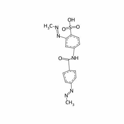 C/N=N/c1ccc(C(=O)Nc2ccc(S(=O)(=O)O)c(/N=N/C)c2)cc1